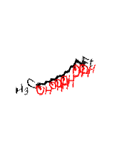 CCC(O)CC(O)CCCC(O)CC(O)CC(O)CCC[C@H](C)O